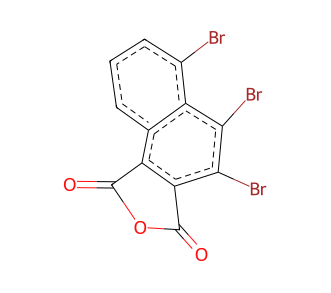 O=C1OC(=O)c2c1c(Br)c(Br)c1c(Br)cccc21